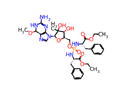 CCOC(=O)[C@H](Cc1ccccc1)NP(=O)(N[C@@H](Cc1ccccc1)C(=O)OCC)OC[C@H]1O[C@@H](n2cnc3c2N=C(N)NC3OC)C(C)(O)[C@H]1O